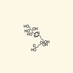 O=C(O)CCCOC(O)(O)CCCc1cnc(C(O)C(O)C(O)CO)cn1